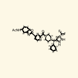 CC(=O)Nc1ccc2oc(-c3ccnc(C(=O)N4CCN([C@@H](C5=NN(C(F)F)NN5)c5ccccc5)CC4)n3)nc2c1